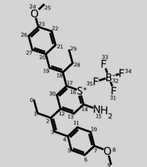 CCC(=Cc1ccc(OC)cc1)c1cc(N)[s+]c(C(=Cc2ccc(OC)cc2)CC)c1.F[B-](F)(F)F